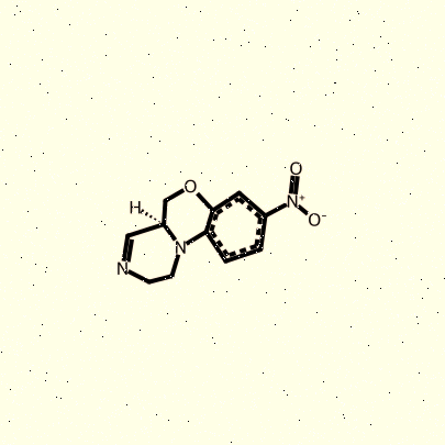 O=[N+]([O-])c1ccc2c(c1)OC[C@@H]1C=NCCN21